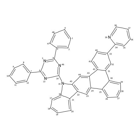 c1ccc(-c2nc(-c3ccccc3)nc(-n3c4ccccc4c4cc5c6ccccc6c6cc(-c7ccccn7)ccc6c5cc43)n2)cc1